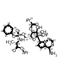 CC(C)OC(=O)[C@H](C)N[P@@](=O)(OC[C@H]1O[C@@](C#N)(c2ccc3c(N)ncnn23)[C@](C)(O)[C@@H]1OC(=O)C(C)C)Oc1ccccc1